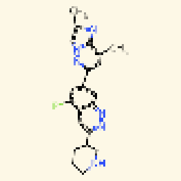 Cc1cn2nc(-c3cc(F)c4cc(C5CCCNC5)nnc4c3)cc(C)c2n1